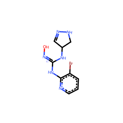 O/N=C(/Nc1ncccc1Br)NC1C=NNC1